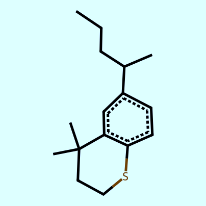 CCCC(C)c1ccc2c(c1)C(C)(C)CCS2